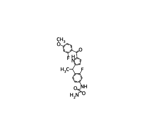 COc1ccc(C(=O)c2ccc(C(C)c3ccc(NS(N)(=O)=O)cc3F)[nH]2)c(F)c1